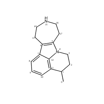 CC1CCn2c3c(c4cccc1c42)CCNCC3